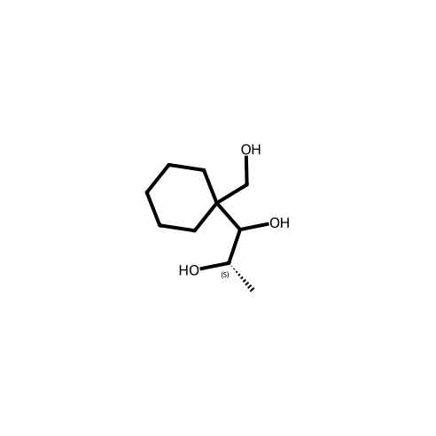 C[C@H](O)C(O)C1(CO)CCCCC1